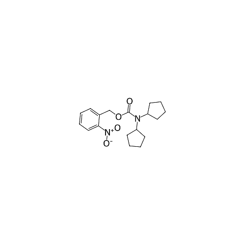 O=C(OCc1ccccc1[N+](=O)[O-])N(C1CCCC1)C1CCCC1